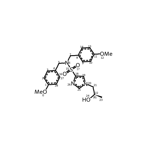 COc1ccc(CN(Cc2ccc(OC)cc2)S(=O)(=O)c2cn(C[C@@H](C)O)cn2)cc1